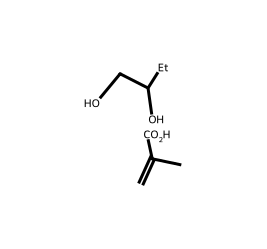 C=C(C)C(=O)O.CCC(O)CO